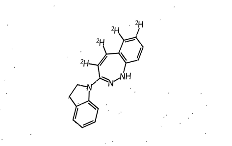 [2H]C1=C([2H])c2c(ccc([2H])c2[2H])NN=C1N1CCc2ccccc21